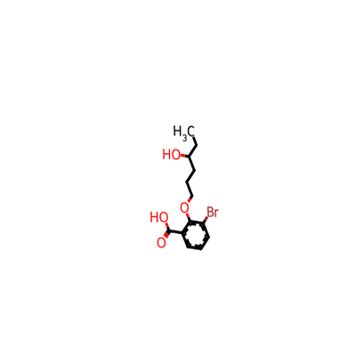 CCC(O)CCCOc1c(Br)cccc1C(=O)O